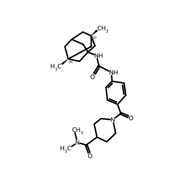 CN(C)C(=O)C1CCN(C(=O)c2ccc(NC(=O)NC34CC5C[C@@](C)(C3)C[C@](C)(C5)C4)cc2)CC1